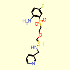 Nc1ccc(F)cc1S(=O)(=O)CCOC=[SH]NCc1cccnc1